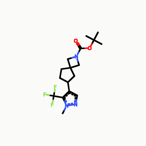 Cn1ncc(C2CCC3(C2)CN(C(=O)OC(C)(C)C)C3)c1C(F)(F)F